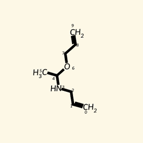 C=CCNC(C)OCC=C